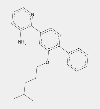 CC(C)CCCOc1cc(-c2ncccc2N)ccc1-c1ccccc1